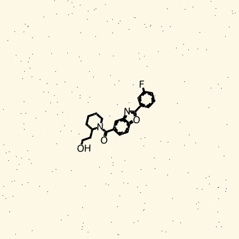 O=C(c1ccc2oc(-c3cccc(F)c3)nc2c1)N1CCCCC1CCO